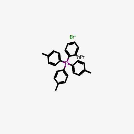 CCCc1ccccc1[P+](c1ccc(C)cc1)(c1ccc(C)cc1)c1ccc(C)cc1.[Br-]